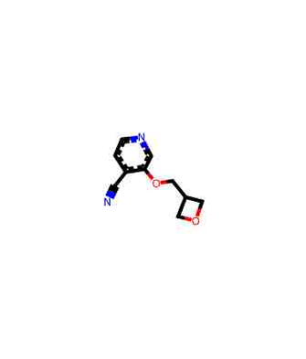 N#Cc1ccncc1OCC1COC1